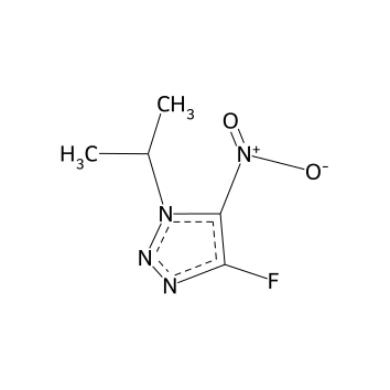 CC(C)n1nnc(F)c1[N+](=O)[O-]